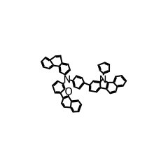 c1ccc(-n2c3cc(-c4ccc(N(c5ccc6ccc7ccccc7c6c5)c5cccc6c5oc5c7ccccc7ccc65)cc4)ccc3c3ccc4ccccc4c32)cc1